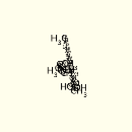 CCC(P(=O)=O)[N+](C)(C)C.CCCCCCCCC=CCCCCCCCCCCCC(=O)C(O)C(C)O